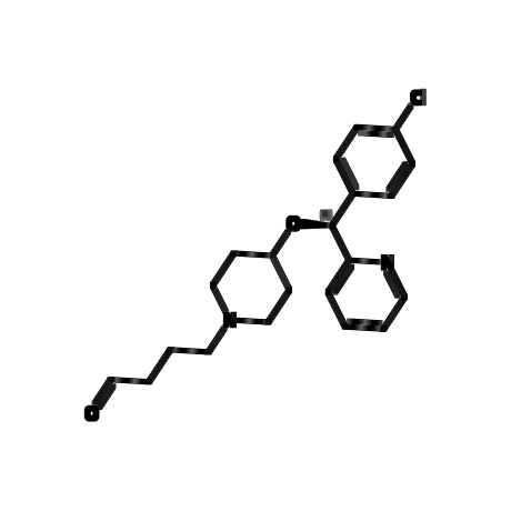 O=CCCCN1CCC(O[C@@H](c2ccc(Cl)cc2)c2ccccn2)CC1